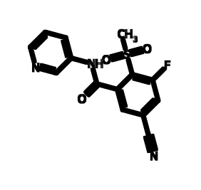 CS(=O)(=O)c1c(F)cc(C#N)cc1C(=O)Nc1cccnc1